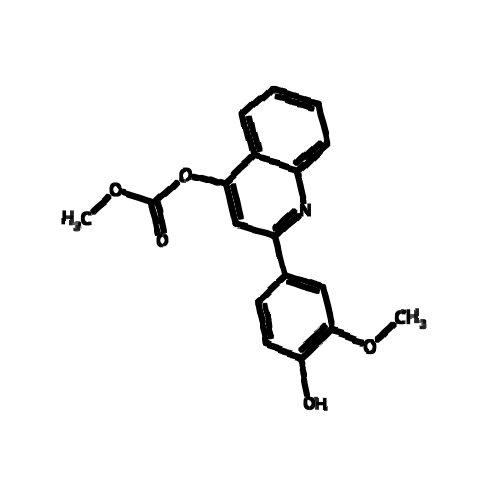 COC(=O)Oc1cc(-c2ccc(O)c(OC)c2)nc2ccccc12